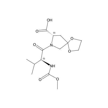 COC(=O)N[C@H](C(=O)N1CC2(C[C@H]1C(=O)O)OCCO2)C(C)C